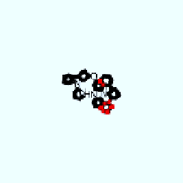 c1ccc(-c2cccc(-c3ccccc3)c2Nc2c(Nc3cccc(Oc4ccc5c6ccccc6n(-c6ccccn6)c5c4)c3)ccc3ccccc23)cc1